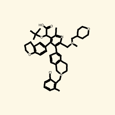 Cc1cccc(Cl)c1CN1CCc2cc(-c3c(CN(C)CC4CCOCC4)nc(C)c(C(OC(C)(C)C)C(=O)O)c3-c3ccc4c(c3)CCCO4)ccc2C1